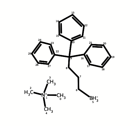 C[N+](C)(C)C.[BH3-]CCCC(c1ccccc1)(c1ccccc1)c1ccccc1